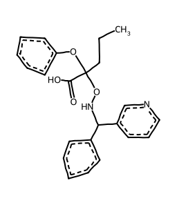 CCCC(ONC(c1ccccc1)c1cccnc1)(Oc1ccccc1)C(=O)O